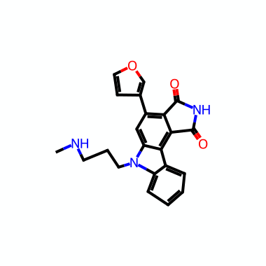 CNCCCn1c2ccccc2c2c3c(c(-c4ccoc4)cc21)C(=O)NC3=O